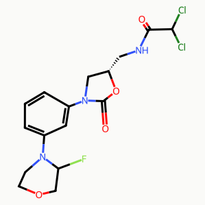 O=C(NC[C@H]1CN(c2cccc(N3CCOCC3F)c2)C(=O)O1)C(Cl)Cl